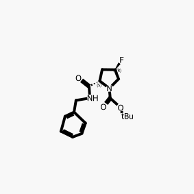 CC(C)(C)OC(=O)N1C[C@H](F)C[C@H]1C(=O)NCc1ccccc1